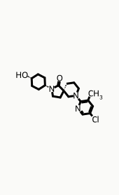 Cc1cc(Cl)cnc1N1CCC[C@@]2(CCN([C@H]3CC[C@@H](O)CC3)C2=O)C1